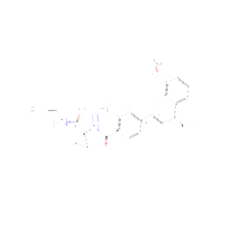 O=C(NC1(C(=O)NCC(F)(F)F)CC1)c1ccc(/C=C/C(c2cccc(OC(F)(F)F)c2)C(F)(F)F)cc1Br